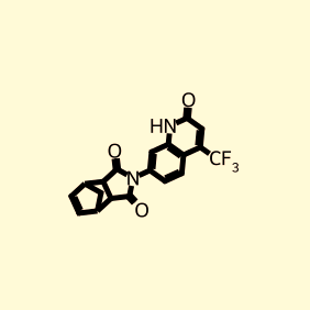 O=C1C2C3C=CC(C3)C2C(=O)N1c1ccc2c(C(F)(F)F)cc(=O)[nH]c2c1